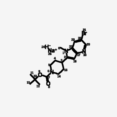 Cn1c(C2CCN(C(=O)OC(C)(C)C)CC2)cc2ncc(Br)cc21.[H-].[Na+]